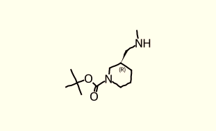 CNC[C@H]1CCCN(C(=O)OC(C)(C)C)C1